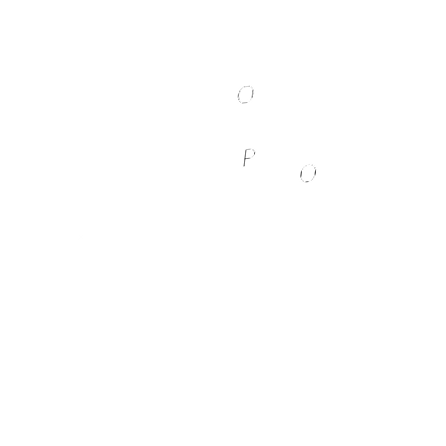 CC1CCCCC1P(=O)=O